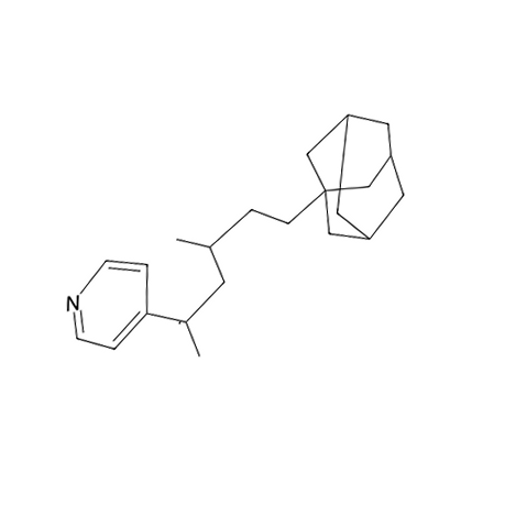 C[C](CC(C)CCC12CC3CC(CC(C3)C1)C2)c1ccncc1